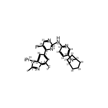 Cc1nc2c(F)cc(-c3nc(Nc4ccc(N5C6CCCC5CC6)cn4)ncc3F)cc2n1C(C)C